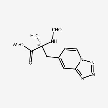 COC(=O)[C@](C)(Cc1ccn2nnnc2c1)NC=O